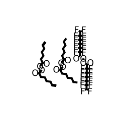 C=CCCCCC(=O)OOC(=O)CCCCC=C.CCCCCCC(=O)OOC(=O)CCCCCC.O=C(OOC(=O)C(F)(F)C(F)(F)C(F)(F)C(F)(F)C(F)(F)C(F)F)C(F)(F)C(F)(F)C(F)(F)C(F)(F)C(F)(F)C(F)F